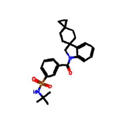 CC(C)(C)NS(=O)(=O)c1cccc(C(=O)N2CC3(CCC4(CC4)CC3)c3ccccc32)c1